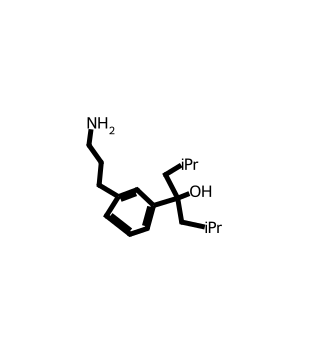 CC(C)CC(O)(CC(C)C)c1cccc(CCCN)c1